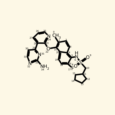 Cc1ccc2c(NS(=O)(=O)CC3CCCC3)c(F)ccc2c1Oc1ncccc1-c1ccnc(N)n1